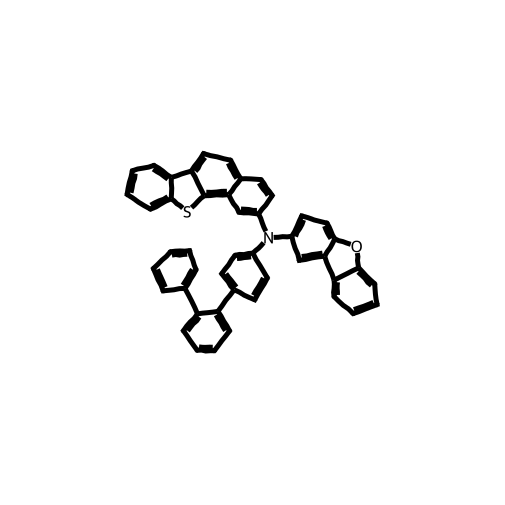 c1ccc(-c2ccccc2-c2ccc(N(c3ccc4oc5ccccc5c4c3)c3ccc4ccc5c6ccccc6sc5c4c3)cc2)cc1